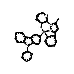 Cc1cc(C)[n+]2n1-c1ncccc1O[B-]2(c1ccccc1)c1ccc2c(c1)c1ccccc1n2-c1ccccc1